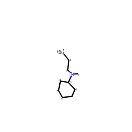 CN(CCC(C)(C)C)C1CCCCC1